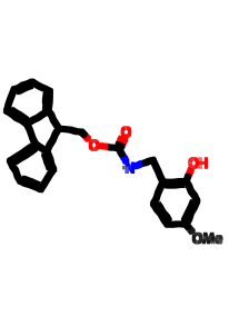 COc1ccc(C[N]C(=O)OCC2c3ccccc3-c3ccccc32)c(O)c1